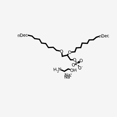 CCCCCCCCCCCCCCCCCCOCC(COP(=O)([O-])[O-])OCCCCCCCCCCCCCCCCCC.NCCO.[Na+].[Na+]